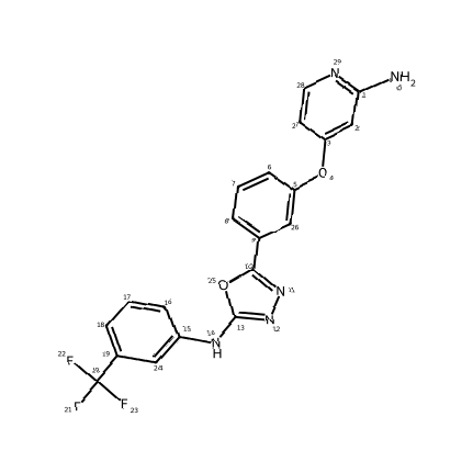 Nc1cc(Oc2cccc(-c3nnc(Nc4cccc(C(F)(F)F)c4)o3)c2)ccn1